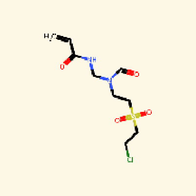 C=CC(=O)NCN(C=O)CCS(=O)(=O)CCCl